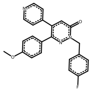 COc1ccc(-c2nn(Cc3ccc(F)cc3)c(=O)cc2-c2ccncc2)cc1